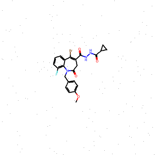 COc1ccc(CN2C(=O)CC(C(=O)NNC(=O)C3CC3)=C(Br)c3cccc(F)c32)cc1